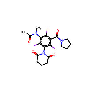 CC(=O)N(C)c1c(I)c(C(=O)N2CCCC2)c(I)c(N2C(=O)CCCC2=O)c1I